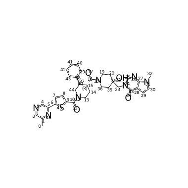 Cc1cncc(-c2ccc(C(=O)N3CC[C@@H](C(=O)N4CCC(O)(Cn5cnc6c(ccn6C)c5=O)CC4)[C@H](c4ccccc4)C3)s2)n1